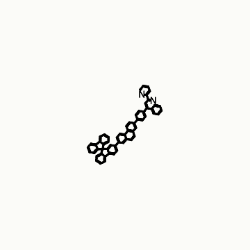 c1ccc(-c2cc(-c3ccc(-c4ccc5c(ccc6cc(-c7ccc8c(c7)C7(c9ccccc9-c9ccccc97)c7ccccc7-8)ccc65)c4)cc3)c3ccccc3n2)nc1